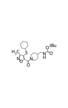 Cc1noc(C(=O)N2CCC(CNC(=O)OC(C)(C)C)CC2)c1SC1CCCCC1